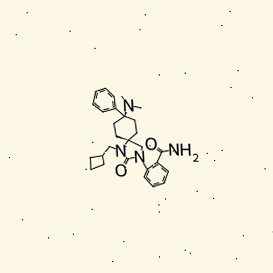 CN(C)[C@]1(c2ccccc2)CC[C@@]2(CC1)CN(c1ccccc1C(N)=O)C(=O)N2CC1CCC1